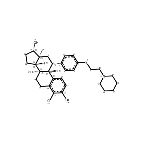 C[C@]12C[C@H](c3ccc(SCCN4CCCCC4)cc3)[C@@H]3c4ccc(O)c(Cl)c4CC[C@H]3[C@@H]1CC[C@@H]2O